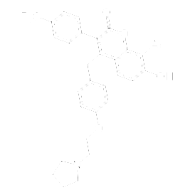 CC(=O)c1c(O)ccc2c(Cc3ccc(OCCN4CCCC4)cc3)c(-c3ccc(C(F)(F)F)cc3)c(=O)oc12